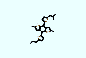 CCCc1ccc(-c2c3cc(C)sc3c(-c3ccc(CC(C)C)s3)c3cc(C)sc23)s1